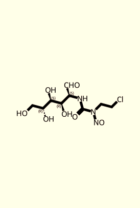 O=C[C@@H](NC(=O)N(CCCl)N=O)[C@@H](O)[C@H](O)[C@H](O)CO